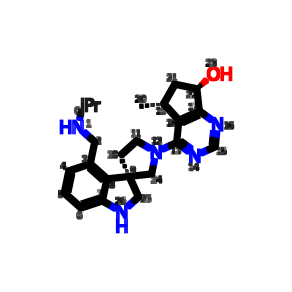 CC(C)NCc1cccc2c1[C@]1(CCN(c3ncnc4c3[C@H](C)C[C@H]4O)C1)CN2